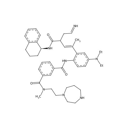 CCN(CC)c1ccc(NC(=O)c2cccc(C(=O)N(C)CCN3CCCNCC3)c2)c(/C(C)=C/C(CC=N)C(=O)N[C@H]2CCCc3ccccc32)c1